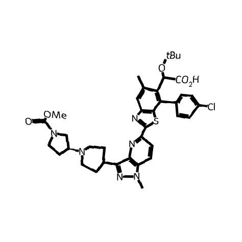 COC(=O)N1CC[C@H](N2CCC(c3nn(C)c4ccc(-c5nc6cc(C)c(C(OC(C)(C)C)C(=O)O)c(-c7ccc(Cl)cc7)c6s5)nc34)CC2)C1